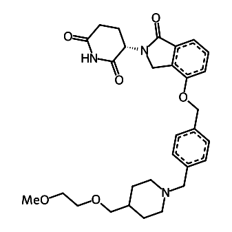 COCCOCC1CCN(Cc2ccc(COc3cccc4c3CN([C@H]3CCC(=O)NC3=O)C4=O)cc2)CC1